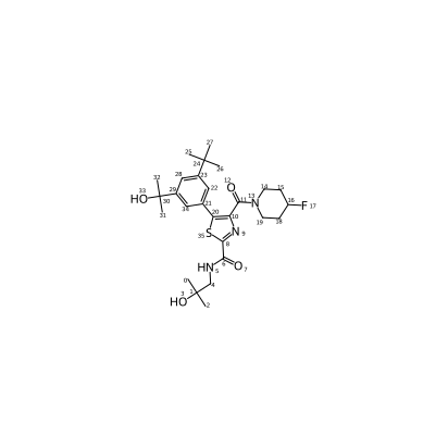 CC(C)(O)CNC(=O)c1nc(C(=O)N2CCC(F)CC2)c(-c2cc(C(C)(C)C)cc(C(C)(C)O)c2)s1